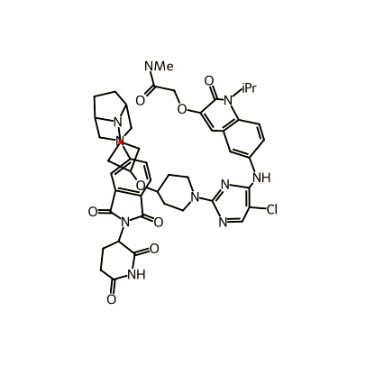 CNC(=O)COc1cc2cc(Nc3nc(N4CCC(OC5CC(N6C7CCC6CN(c6ccc8c(c6)C(=O)N(C6CCC(=O)NC6=O)C8=O)C7)C5)CC4)ncc3Cl)ccc2n(C(C)C)c1=O